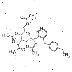 CCc1ccc(Cc2ccnnc2O[C@@H]2S[C@H](COC(C)=O)[C@@H](OC(C)=O)[C@H](OC(C)=O)[C@H]2OC(C)=O)cc1